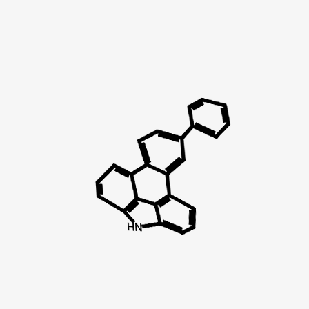 c1ccc(-c2ccc3c(c2)c2cccc4[nH]c5cccc3c5c42)cc1